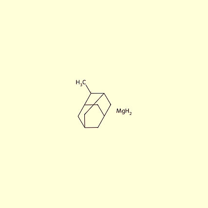 C[C]1C2CC3CC(C2)CC1C3.[MgH2]